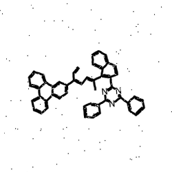 C=C/C(=C\C=C(/C)c1c(-c2nc(-c3ccccc3)nc(-c3ccccc3)n2)ccc2ccccc12)c1ccc2c3ccccc3c3ccccc3c2c1